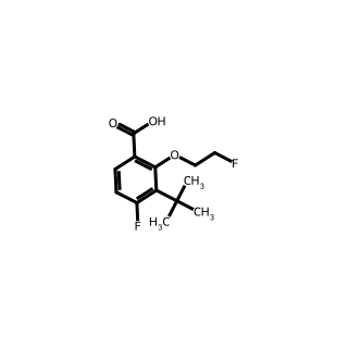 CC(C)(C)c1c(F)ccc(C(=O)O)c1OCCF